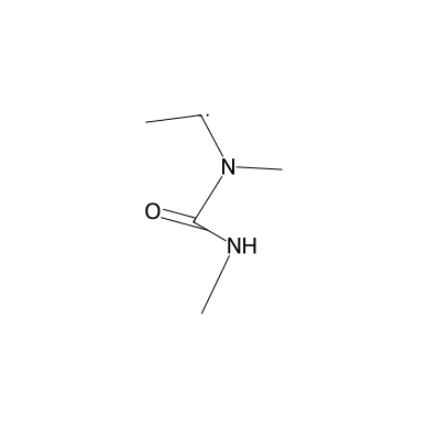 C[CH]N(C)C(=O)NC